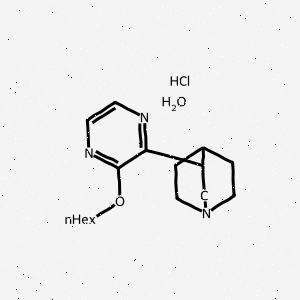 CCCCCCOc1nccnc1C1CN2CCC1CC2.Cl.O